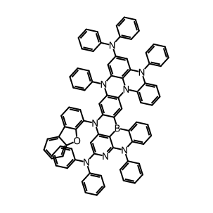 c1ccc(N(c2ccccc2)c2cc3c4c(c2)N(c2ccccc2)c2cc5c(cc2N4c2ccccc2N3c2ccccc2)B2c3ccccc3N(c3ccccc3)c3nc(N(c4ccccc4)c4ccccc4)cc(c32)N5c2cccc3c2oc2ccccc23)cc1